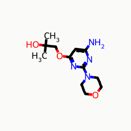 CC(C)(O)COc1cc(N)nc(N2CCOCC2)n1